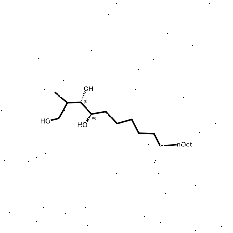 CCCCCCCCCCCCCC[C@@H](O)[C@@H](O)C(C)CO